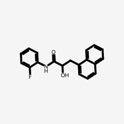 O=C(Nc1ccccc1F)C(O)Cc1cccc2ccccc12